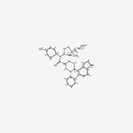 CC1(C)CCC(C(C(=O)N2CCN(c3c(-c4ccccc4)cnc4[nH]ccc34)CC2)c2ccc(Cl)cc2)N1.Cl.Cl